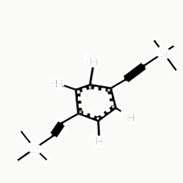 [2H]c1c([2H])c(C#C[Si](C)(C)C)c([2H])c([2H])c1C#C[Si](C)(C)C